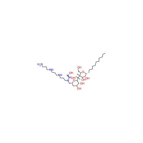 CCCCCCCCCCC[C@H]1O[C@H](CO)[C@@](C)(C(C)(C)C2O[C@H](CN(CCCNCCCNCCCN)/[N+](O)=N/O)C[C@H](O)[C@H]2O)[C@H](O)[C@H]1O